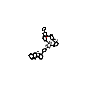 c1ccc(-c2cccc(-c3ccc4oc5cccc(-c6nc(-c7ccccc7)nc(-c7ccc(-c8cccc9c8oc8cc%10ccccc%10cc89)cc7)n6)c5c4c3)c2)cc1